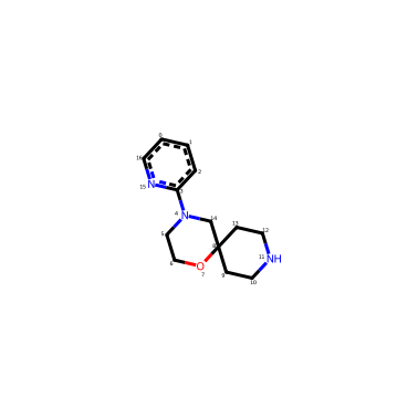 c1ccc(N2CCOC3(CCNCC3)C2)nc1